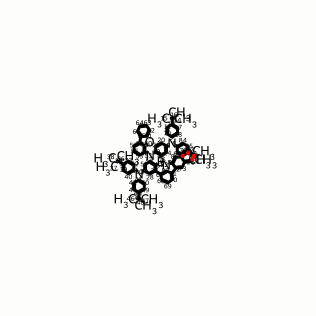 CC(C)(C)c1ccc(N(c2ccc(C(C)(C)C)cc2)c2ccc3c(c2)B2c4c(cc(N(c5ccc(C(C)(C)C)cc5)c5ccc(C(C)(C)C)cc5)cc4N3c3cccc4c3oc3ccccc34)-c3cccc4c5cc6ccccc6cc5n2c34)cc1